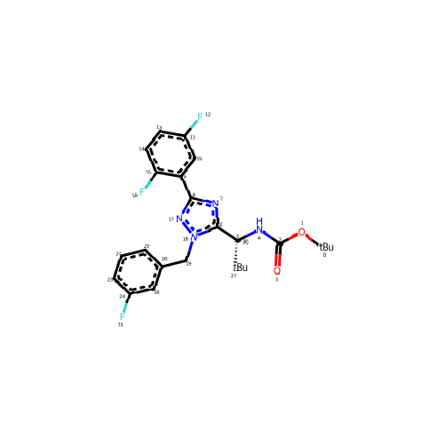 CC(C)(C)OC(=O)N[C@@H](c1nc(-c2cc(F)ccc2F)nn1Cc1cccc(F)c1)C(C)(C)C